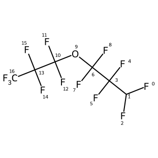 F[C](F)C(F)(F)C(F)(F)OC(F)(F)C(F)(F)C(F)(F)F